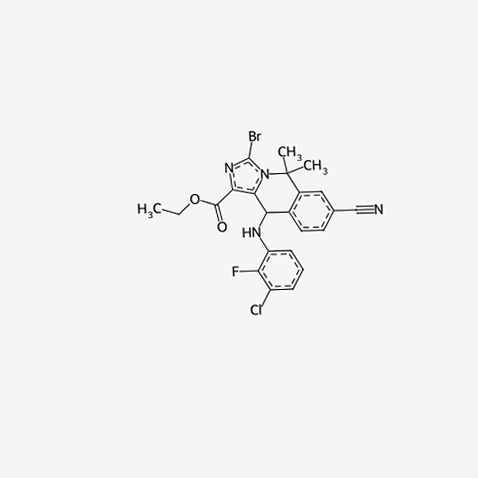 CCOC(=O)c1nc(Br)n2c1C(Nc1cccc(Cl)c1F)c1ccc(C#N)cc1C2(C)C